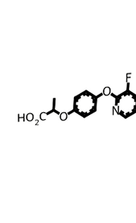 CC(Oc1ccc(Oc2ncccc2F)cc1)C(=O)O